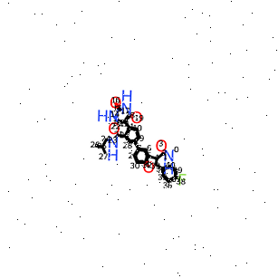 CNC(=O)C1c2cc(-c3ccc(-c4c[nH]c(=O)[nH]c4=O)c(C(=O)NCC(C)C)c3)ccc2OC1c1ccc(F)cc1